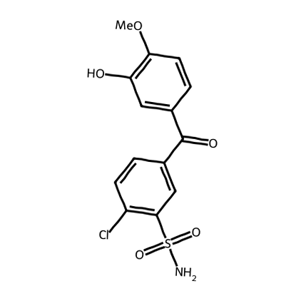 COc1ccc(C(=O)c2ccc(Cl)c(S(N)(=O)=O)c2)cc1O